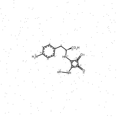 CCCNc1c(N[C@@H](Cc2ccc(N)cc2)C(=O)O)c(=O)c1=O